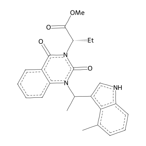 CC[C@@H](C(=O)OC)n1c(=O)c2ccccc2n(C(C)c2c[nH]c3cccc(C)c23)c1=O